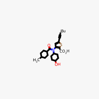 CCC(C)C#Cc1cc(N(C(=O)C2CCC(C)CC2)C2CCC(O)CC2)c(C(=O)O)s1